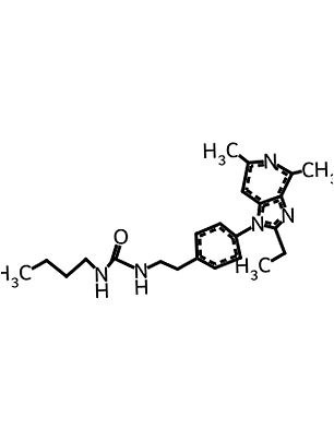 CCCCNC(=O)NCCc1ccc(-n2c(CC)nc3c(C)nc(C)cc32)cc1